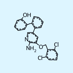 Nc1ncc(-c2ccccc2-c2ccccc2O)cc1OCc1c(Cl)cccc1Cl